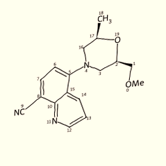 COC[C@H]1CN(c2ccc(C#N)c3ncccc23)C[C@@H](C)O1